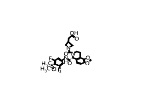 CS(C)(C)c1c(F)cc(NC(=O)[C@H]2c3ccc4c(c3CCN2C(=O)N2CC(CC(=O)O)C2)OCO4)cc1F